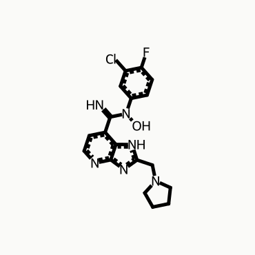 N=C(c1ccnc2nc(CN3CCCC3)[nH]c12)N(O)c1ccc(F)c(Cl)c1